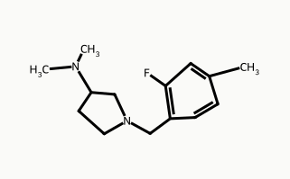 Cc1ccc(CN2CCC(N(C)C)C2)c(F)c1